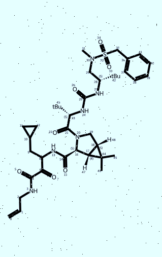 C=CCNC(=O)C(=O)C(CC1CC1)NC(=O)[C@@H]1[C@@H]2[C@H](CN1C(=O)[C@@H](NC(=O)N[C@H](CN(C)S(=O)(=O)Cc1ccccc1)C(C)(C)C)C(C)(C)C)C2(C)C